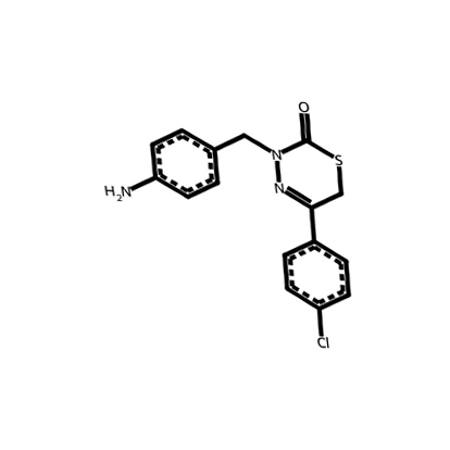 Nc1ccc(CN2N=C(c3ccc(Cl)cc3)CSC2=O)cc1